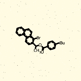 CCC(C)c1ccc(C(=O)OC(C)c2ccc3c(ccc4ccccc43)c2Br)cc1